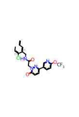 C=C/C=C(CNC(=O)Cn1nc(-c2ccc(OC(F)(F)F)nc2)ccc1=O)\C(Cl)=C/C